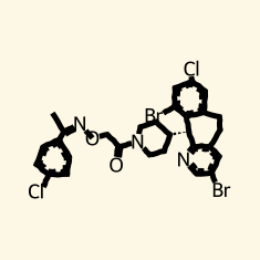 CC(=NOCC(=O)N1CCC([C@H]2c3ncc(Br)cc3CCc3cc(Cl)cc(Br)c32)CC1)c1ccc(Cl)cc1